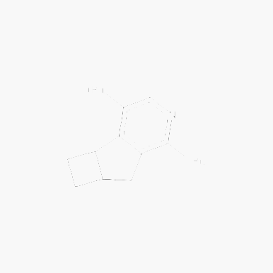 CC(C)(C)c1cnc(C(C)(C)C)c2c1C1CCC1C2